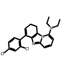 CCN(CC)c1cccc2nc3c(n12)CCC=C3c1ccc(Cl)cc1Cl